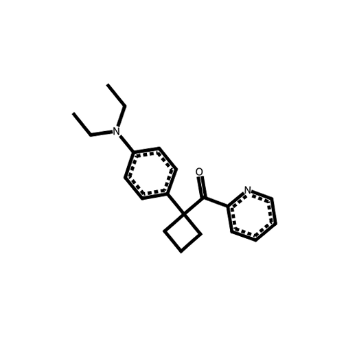 CCN(CC)c1ccc(C2(C(=O)c3ccccn3)CCC2)cc1